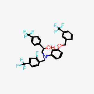 OC(CN(Cc1ccc(C(F)(F)F)cc1F)c1cccc(OCc2cccc(C(F)(F)F)c2)c1)c1ccc(C(F)(F)F)cc1